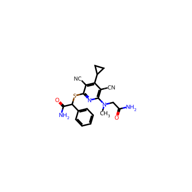 CN(CC(N)=O)c1nc(SC(C(N)=O)c2ccccc2)c(C#N)c(C2CC2)c1C#N